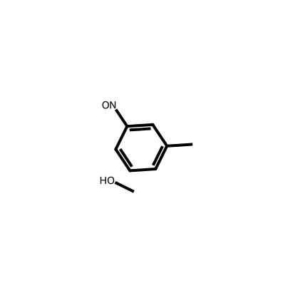 CO.Cc1cccc(N=O)c1